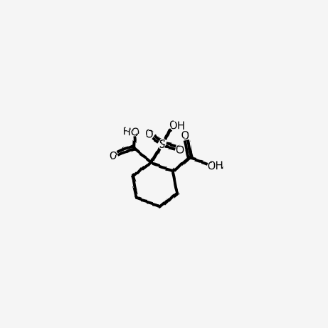 O=C(O)C1CCCCC1(C(=O)O)S(=O)(=O)O